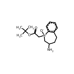 CC(C)(C)OC(=O)C[N+]1([O-])CC(N)CCc2ccccc21